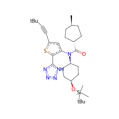 CC(C)(C)C#Cc1cc(N(C(=O)[C@H]2CC[C@H](C)CC2)[C@H]2CC[C@@H](O[Si](C)(C)C(C)(C)C)CC2)c(-c2nnn[nH]2)s1